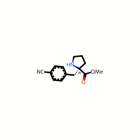 COC(=O)[C@]1(Cc2ccc(C#N)cc2)CCCN1